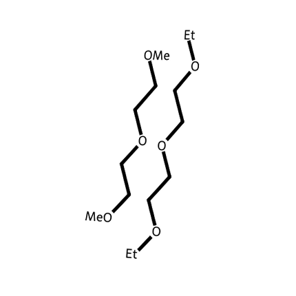 CCOCCOCCOCC.COCCOCCOC